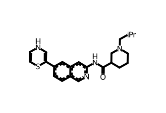 CC(C)CN1CCCC(C(=O)Nc2cc3cc(C4=CNC=CS4)ccc3cn2)C1